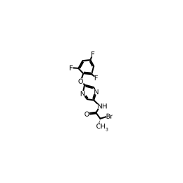 C[C@@H](Br)C(=O)Nc1cnc(Oc2c(F)cc(F)cc2F)cn1